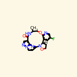 CC1COc2ncc(F)cc2[C@@H]2CCON2c2ccn3ncc(c3n2)C(=O)N1